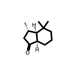 C[C@H]1CC(=O)[C@@H]2CCCC(C)(C)[C@H]12